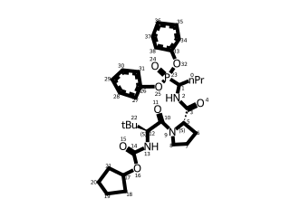 CCCC(NC(=O)[C@@H]1CCCN1C(=O)[C@@H](NC(=O)OC1CCCC1)C(C)(C)C)P(=O)(Oc1ccccc1)Oc1ccccc1